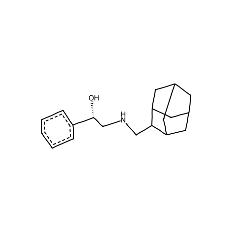 O[C@H](CNCC1C2CC3CC(C2)CC1C3)c1ccccc1